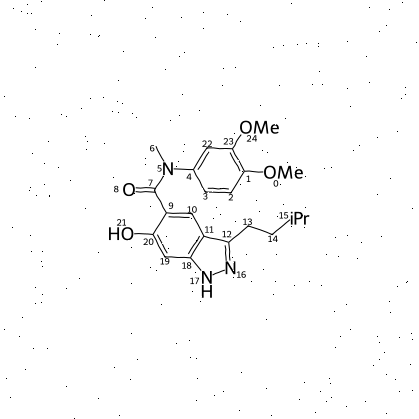 COc1ccc(N(C)C(=O)c2cc3c(CCC(C)C)n[nH]c3cc2O)cc1OC